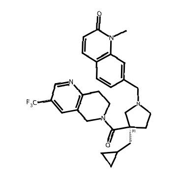 Cn1c(=O)ccc2ccc(CN3CC[C@@](CC4CC4)(C(=O)N4CCc5ncc(C(F)(F)F)cc5C4)C3)cc21